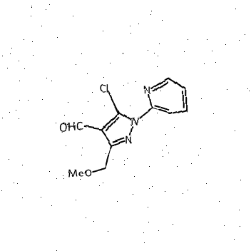 COCc1nn(-c2ccccn2)c(Cl)c1C=O